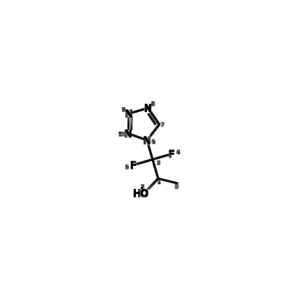 CC(O)C(F)(F)n1cnnn1